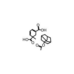 CC(=O)OC12CC3CC(CC(C3)C1)C2.CC1(C(=O)O)C=CC=C(C(=O)O)C1